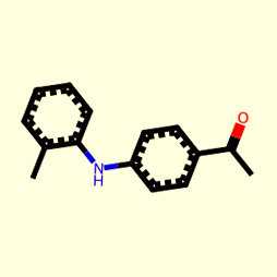 CC(=O)c1ccc(Nc2ccccc2C)cc1